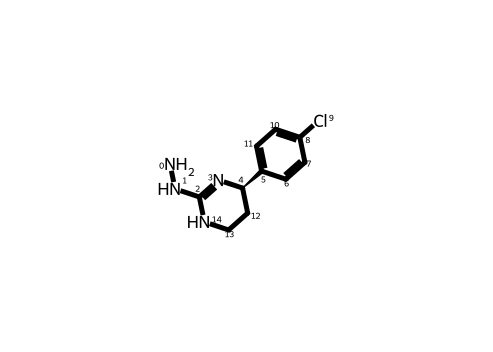 NNC1=N[C@@H](c2ccc(Cl)cc2)CCN1